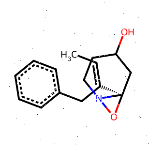 C/C=C(\Cc1ccccc1)[C@@]12CC(O)CCN1O2